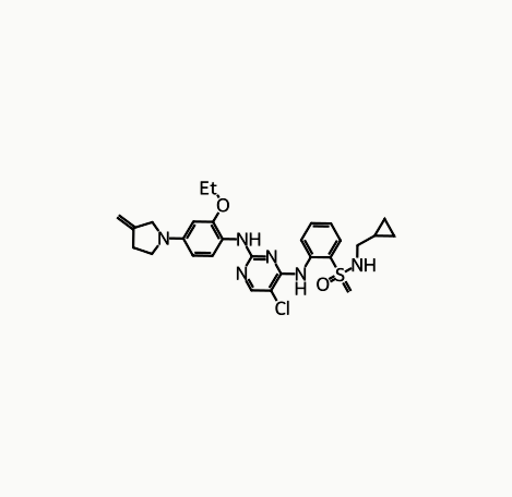 C=C1CCN(c2ccc(Nc3ncc(Cl)c(Nc4ccccc4S(=C)(=O)NCC4CC4)n3)c(OCC)c2)C1